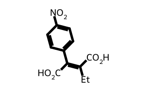 CCC(C(=O)O)=C(C(=O)O)c1ccc([N+](=O)[O-])cc1